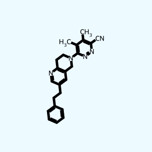 Cc1c(C#N)nnc(N2CCc3ncc(CCc4ccccc4)cc3C2)c1C